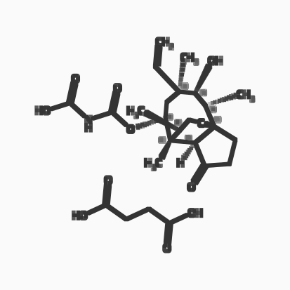 C=C[C@]1(C)C[C@@H](OC(=O)NC(=O)O)[C@]2(C)[C@H](C)CC[C@]3(CCC(=O)[C@H]32)[C@@H](C)[C@@H]1O.O=C(O)CCC(=O)O